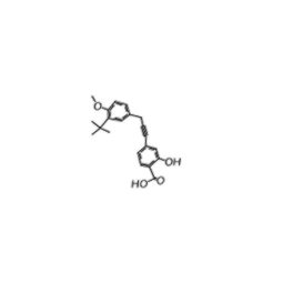 COc1ccc(CC#Cc2ccc(C(=O)O)c(O)c2)cc1C(C)(C)C